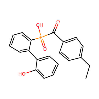 CCc1ccc(C(=O)P(=O)(O)c2ccccc2-c2ccccc2O)cc1